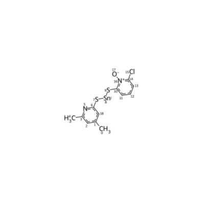 Cc1cc(C)nc([S][Sn][S]c2cccc(Cl)[n+]2[O-])c1